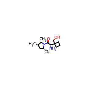 C[C@H]1C[C@@H](C#N)N(C(=O)[C@@H](N)C2(CO)CCC2)[C@H]1C